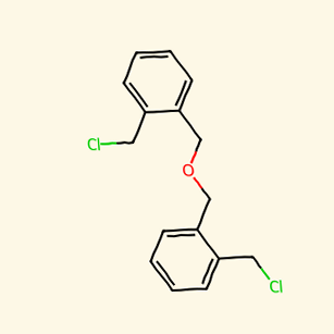 ClCc1ccccc1COCc1ccccc1CCl